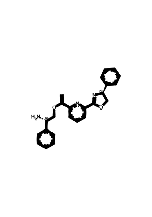 C=C(OC[C@@H](N)c1ccccc1)c1cccc(C2=N[C@@H](c3ccccc3)CO2)n1